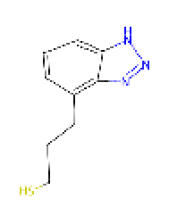 SCCCc1cccc2[nH]nnc12